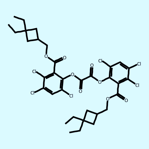 CCC1(CC)CC(COC(=O)c2c(Cl)c(Cl)cc(Cl)c2OC(=O)C(=O)Oc2c(Cl)cc(Cl)c(Cl)c2C(=O)OCC2CC(CC)(CC)C2)C1